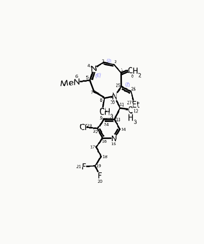 C=C1/C=C\N=C(\NC)CC(C)N(C(C)c2cnc(CCC(F)F)c(Cl)c2)/C1=C\CC